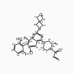 C=CC(=O)N1C[C@H](C)N(c2nc(N3CC4(COC4)C3)nc3c(F)c(-c4c(O)cccc4F)c(Cl)cc23)C[C@H]1C